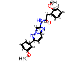 COc1cccc(-c2ccc3nc(NC(=O)Cc4ccccc4OC)cn3n2)c1